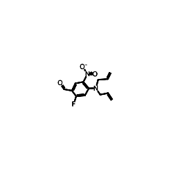 C=CCN(CC=C)c1cc(F)c(C=O)cc1[N+](=O)[O-]